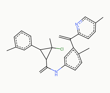 C=C(c1ccc(C)cn1)c1cc(NC(=C)C2C(c3cccc(C)c3)C2(C)Cl)ccc1C